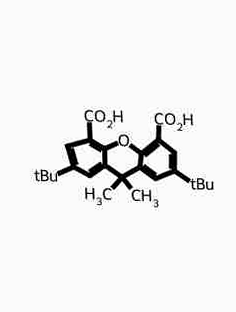 CC(C)(C)c1cc(C(=O)O)c2c(c1)C(C)(C)c1cc(C(C)(C)C)cc(C(=O)O)c1O2